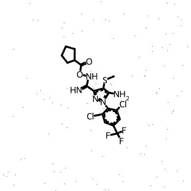 CSc1c(C(=N)NOC(=O)C2CCCC2)nn(-c2c(Cl)cc(C(F)(F)F)cc2Cl)c1N